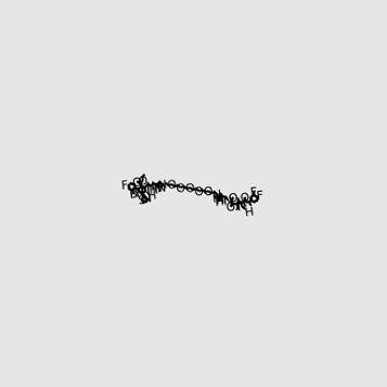 CCOC(=O)C1=C(CNCc2cn(CCOCCOCCOCCOCCOCCn3cc(CNC(=O)C(=O)c4c(C)c(C(=O)Nc5ccc(F)c(F)c5)n(C)c4C)nn3)nn2)NC(c2nccs2)=NC1c1ccc(F)cc1Br